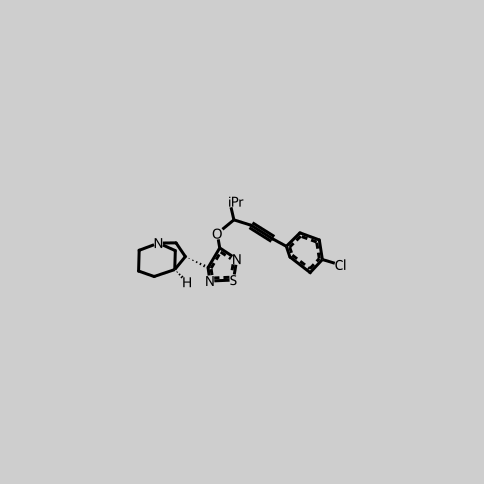 CC(C)C(C#Cc1ccc(Cl)cc1)Oc1nsnc1[C@H]1CN2CCC[C@H]1C2